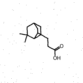 CC1(C)CC2CCC1C(CCC(=O)O)C2